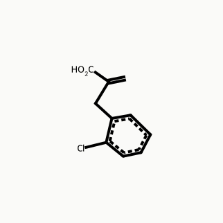 C=C(Cc1ccccc1Cl)C(=O)O